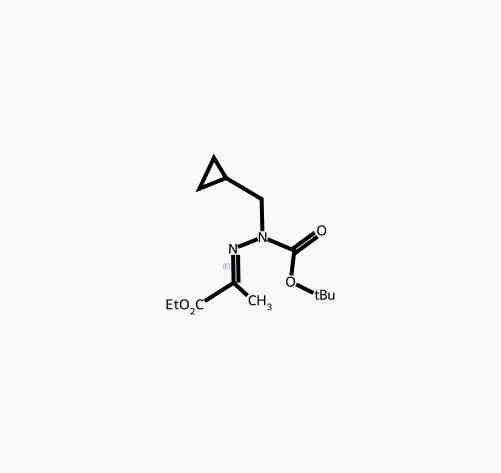 CCOC(=O)/C(C)=N/N(CC1CC1)C(=O)OC(C)(C)C